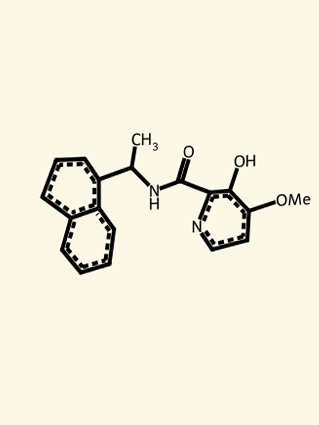 COc1ccnc(C(=O)NC(C)c2cccc3ccccc23)c1O